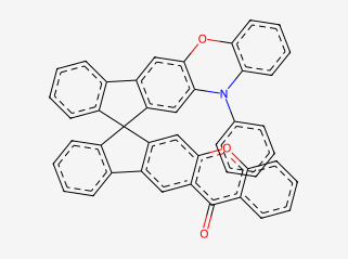 O=c1c2ccccc2oc2cc3c(cc12)-c1ccccc1C31c2ccccc2-c2cc3c(cc21)N(c1ccccc1)c1ccccc1O3